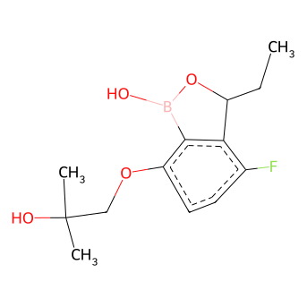 CCC1OB(O)c2c(OCC(C)(C)O)ccc(F)c21